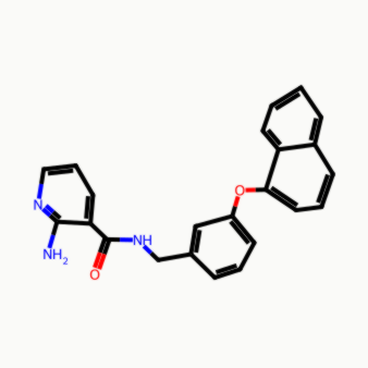 Nc1ncccc1C(=O)NCc1cccc(Oc2cccc3ccccc23)c1